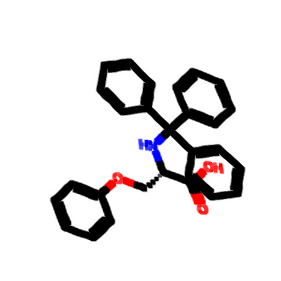 O=C(O)[C@H](COc1ccccc1)NC(c1ccccc1)(c1ccccc1)c1ccccc1